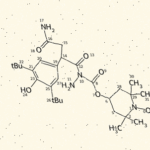 CON1C(C)(C)CC(OC(=O)N(N)C(=O)C(CC(N)=O)c2cc(C(C)(C)C)c(O)c(C(C)(C)C)c2)CC1(C)C